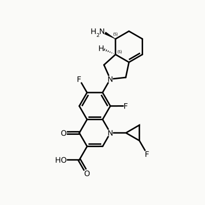 N[C@H]1CCC=C2CN(c3c(F)cc4c(=O)c(C(=O)O)cn(C5CC5F)c4c3F)C[C@H]21